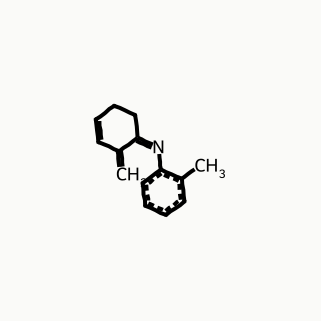 C=C1C=CCC/C1=N/c1ccccc1C